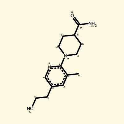 Cc1cc(CCC#N)cnc1N1CCC(C(N)=O)CC1